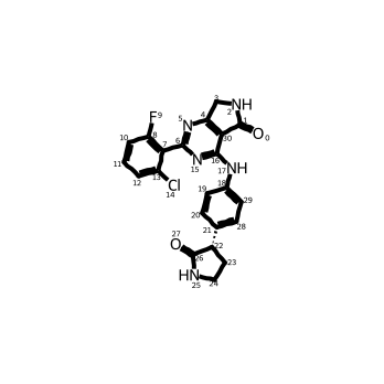 O=C1NCc2nc(-c3c(F)cccc3Cl)nc(Nc3ccc([C@@H]4CCNC4=O)cc3)c21